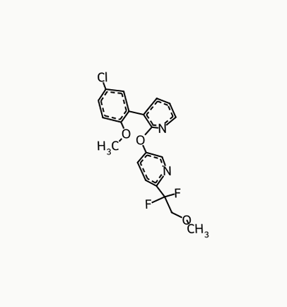 COCC(F)(F)c1ccc(Oc2ncccc2-c2cc(Cl)ccc2OC)cn1